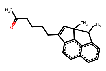 CC(=O)CCCCC1=CC2(C)c3c1ccc1cccc(c31)C2C